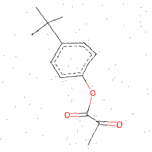 CC(=O)C(=O)Oc1ccc(C(C)(C)C)cc1